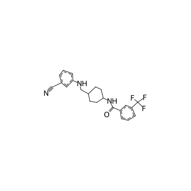 N#Cc1cccc(NCC2CCC(NC(=O)c3cccc(C(F)(F)F)c3)CC2)c1